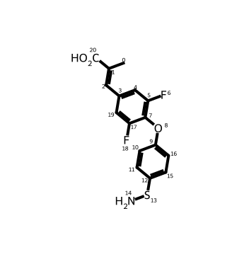 C/C(=C\c1cc(F)c(Oc2ccc(SN)cc2)c(F)c1)C(=O)O